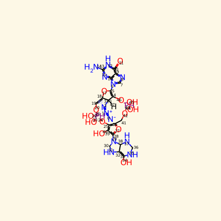 [N-]=[N+]=N[C@H]1C2=C(n3cnc4c(=O)[nH]c(N)nc43)O/C1=C/O[PH](O)(O)Oc1c(oc(N3CNC4=C(O)NCNC43)c1O)CO[PH](O)(O)O2